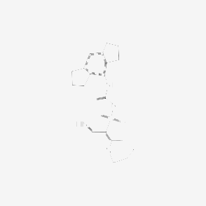 N=C/C(=C1\NCCCO1)S(=O)(=O)NC(=S)Nc1c2c(cc3c1CCC3)CCC2